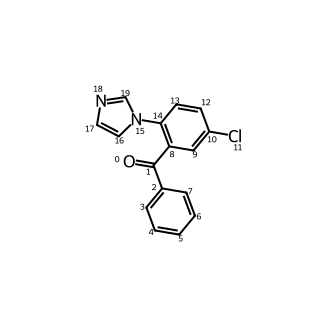 O=C(c1ccccc1)c1cc(Cl)ccc1-n1ccnc1